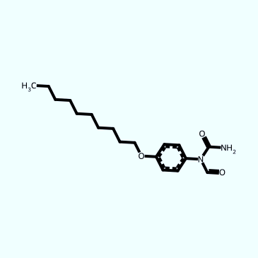 CCCCCCCCCCOc1ccc(N(C=O)C(N)=O)cc1